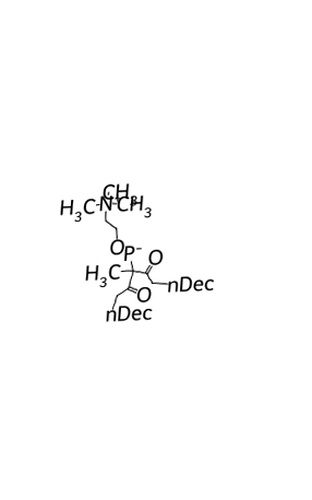 CCCCCCCCCCCC(=O)C(C)([P-]OCC[N+](C)(C)C)C(=O)CCCCCCCCCCC